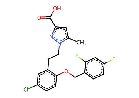 Cc1cc(C(=O)O)nn1CCc1cc(Cl)ccc1OCc1ccc(F)cc1F